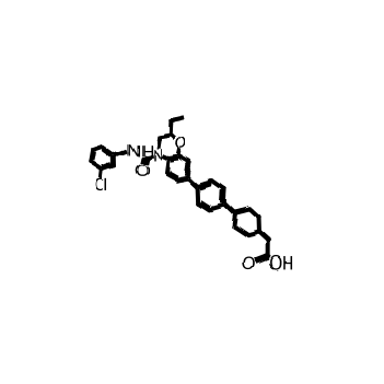 CCC1CN(C(=O)Nc2cccc(Cl)c2)c2ccc(-c3ccc(C4CCC(CC(=O)O)CC4)cc3)cc2O1